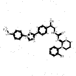 CCc1ccccc1N1CCCS/C1=N\C(=O)NCC(C#N)c1ccc(-c2ncn(-c3ccc(OC(F)(F)F)cc3)n2)cc1